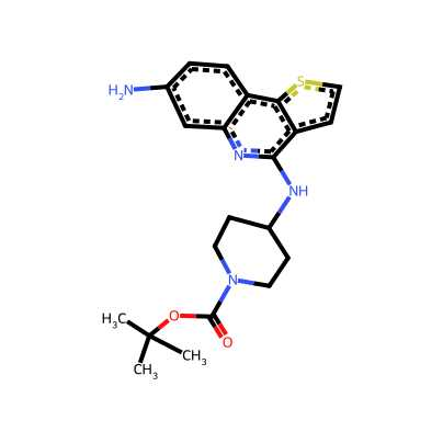 CC(C)(C)OC(=O)N1CCC(Nc2nc3cc(N)ccc3c3sccc23)CC1